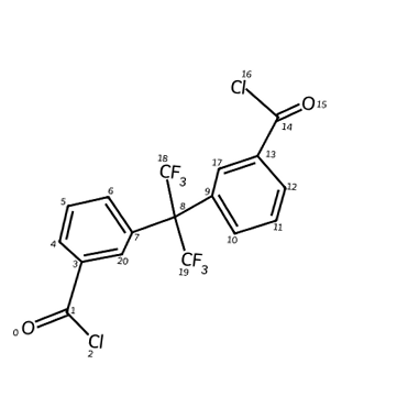 O=C(Cl)c1cccc(C(c2cccc(C(=O)Cl)c2)(C(F)(F)F)C(F)(F)F)c1